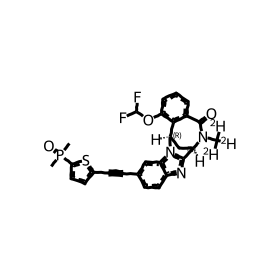 [2H]C([2H])([2H])N1C(=O)c2cccc(OC(F)F)c2[C@H]2C[C@@H]1c1nc3ccc(C#Cc4ccc(P(C)(C)=O)s4)cc3n12